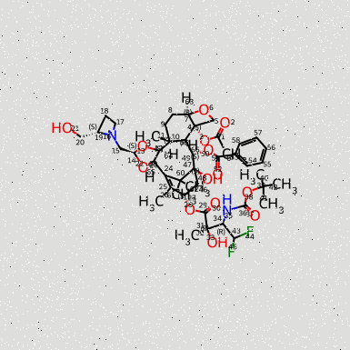 CC(=O)O[C@@]12CO[C@@H]1CC[C@@]1(C)[C@@H]3O[C@H](CN4CC[C@H]4CO)O[C@@H]3C3=C(C)[C@@H](OC(=O)[C@](C)(O)[C@@H](NC(=O)OC(C)(C)C)C(F)F)C[C@@](O)([C@@H](OC(=O)c4ccccc4)[C@@H]12)C3(C)C